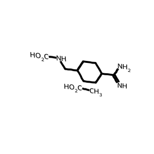 CC(=O)O.N=C(N)C1CCC(CNC(=O)O)CC1